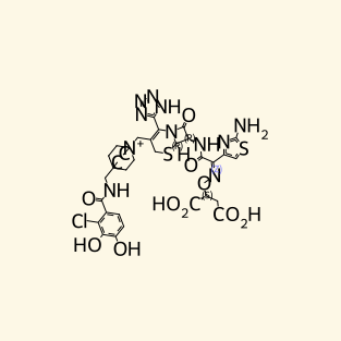 Nc1nc(/C(=N/O[C@@H](CC(=O)O)C(=O)O)C(=O)N[C@@H]2C(=O)N3C(c4nnn[nH]4)=C(C[N+]45CCC(CNC(=O)c6ccc(O)c(O)c6Cl)(CC4)CC5)CS[C@H]23)cs1